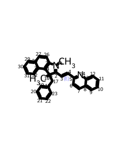 C[N+]1=C(/C=C/c2ccc3ccccc3n2)C(C)(Cc2ccccc2)c2c1ccc1ccccc21